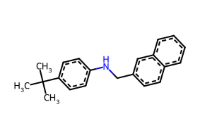 CC(C)(C)c1ccc(NCc2ccc3ccccc3c2)cc1